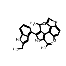 CC(C)c1c(-c2cccc3[nH]c(CO)cc23)[nH]c(C(=O)O)c1-c1c(Cl)ccc2[nH]ccc12